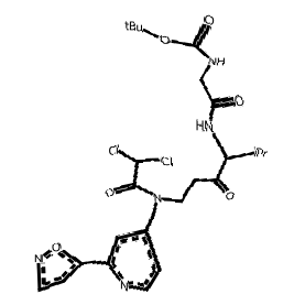 CC(C)C(NC(=O)CNC(=O)OC(C)(C)C)C(=O)CCN(C(=O)C(Cl)Cl)c1ccnc(-c2ccno2)c1